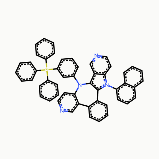 c1ccc(S(c2ccccc2)(c2ccccc2)c2cccc(N3c4ccncc4-c4ccccc4-c4c3c3cnccc3n4-c3cccc4ccccc34)c2)cc1